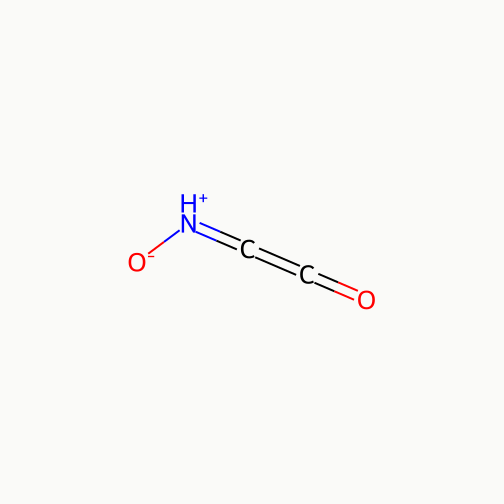 O=C=C=[NH+][O-]